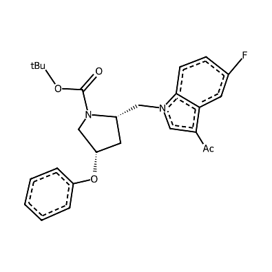 CC(=O)c1cn(C[C@@H]2C[C@H](Oc3ccccc3)CN2C(=O)OC(C)(C)C)c2ccc(F)cc12